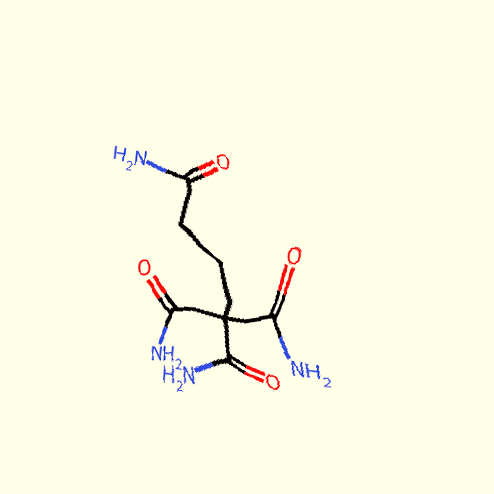 NC(=O)CCC(C(N)=O)(C(N)=O)C(N)=O